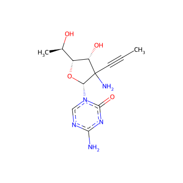 CC#CC1(N)[C@@H](O)[C@@H]([C@@H](C)O)O[C@H]1n1cnc(N)nc1=O